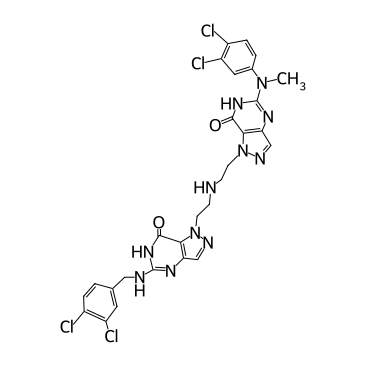 CN(c1ccc(Cl)c(Cl)c1)c1nc2cnn(CCNCCn3ncc4nc(NCc5ccc(Cl)c(Cl)c5)[nH]c(=O)c43)c2c(=O)[nH]1